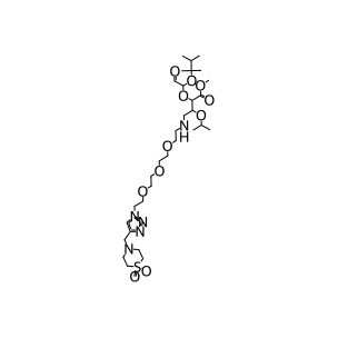 COC(=O)C(OC(C=O)OC(C)(C)C(C)C)C(CNCCOCCOCCOCCn1cc(CN2CCS(=O)(=O)CC2)nn1)OC(C)C